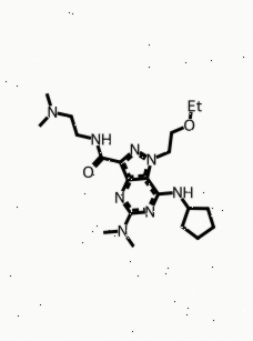 CCOCCn1nc(C(=O)NCCN(C)C)c2nc(N(C)C)nc(NC3CCCC3)c21